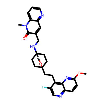 COc1ccc2ncc(F)c(CCC34CCC(NCc5cc6ncccc6n(C)c5=O)(CC3)CO4)c2n1